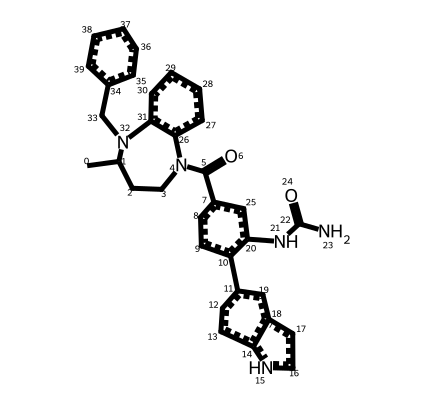 CC1CCN(C(=O)c2ccc(-c3ccc4[nH]ccc4c3)c(NC(N)=O)c2)c2ccccc2N1Cc1ccccc1